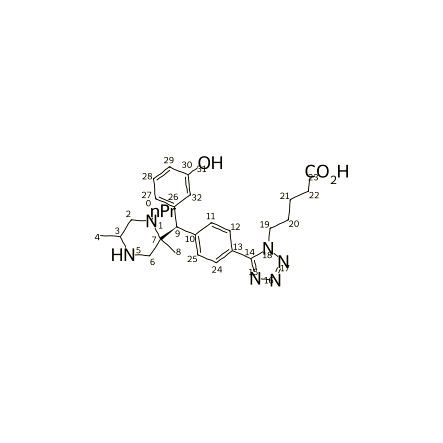 CCCN1CC(C)NCC1(C)[C@H](c1ccc(-c2nnnn2CCCCC(=O)O)cc1)c1cccc(O)c1